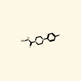 CCCCNC(=S)N1CCN(c2ccc(F)cc2)CC1